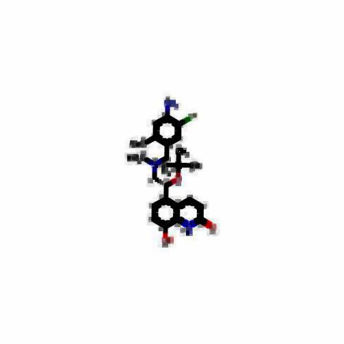 COc1cc(N)c(F)cc1CN(C[C@H](O[Si](C)(C)C(C)(C)C)c1ccc(O)c2[nH]c(=O)ccc12)C(=O)O